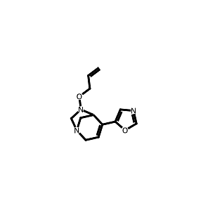 C=CCON1CN2CC=C(c3cnco3)C1C2